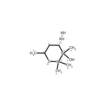 CC1CC[Si](C)(O)[Si](C)(C)O1.[KH].[KH]